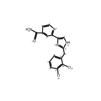 NC(=O)c1ccnc(-c2c[nH]c(Cc3cccc(Cl)c3Cl)n2)c1